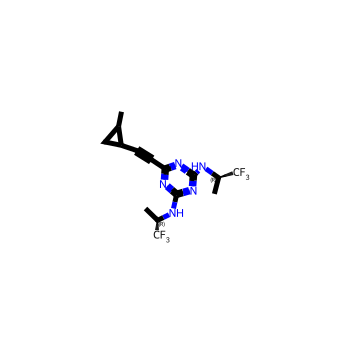 CC1CC1C#Cc1nc(N[C@H](C)C(F)(F)F)nc(N[C@H](C)C(F)(F)F)n1